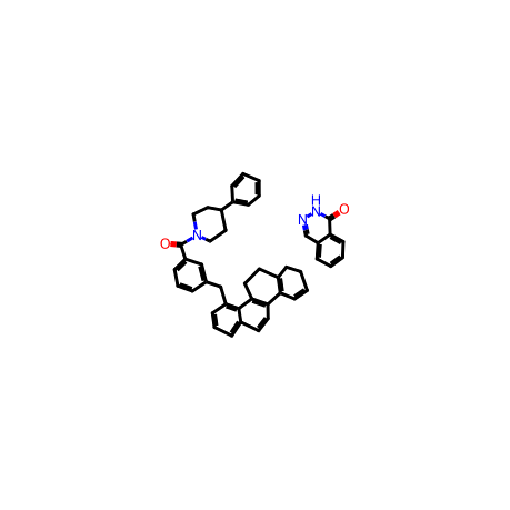 O=C(c1cccc(Cc2cccc3ccc4c(c23)CCC2=C4C=CCC2)c1)N1CCC(c2ccccc2)CC1.O=c1[nH]ncc2ccccc12